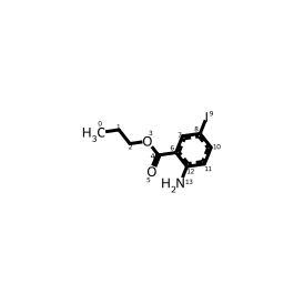 CCCOC(=O)c1cc(I)ccc1N